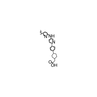 CSc1ccc(Nc2ccc(-c3ccc(C4CCC(CC(=O)O)CC4)cc3)nc2)nc1